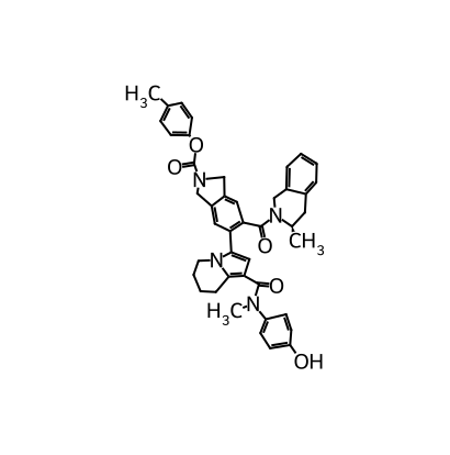 Cc1ccc(OC(=O)N2Cc3cc(C(=O)N4Cc5ccccc5C[C@H]4C)c(-c4cc(C(=O)N(C)c5ccc(O)cc5)c5n4CCCC5)cc3C2)cc1